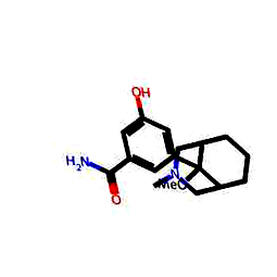 COC1(c2cc(O)cc(C(N)=O)c2)C2CCCC1CN(C)C2